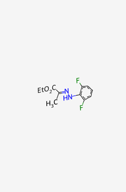 CCOC(=O)C(C)=NNc1c(F)cccc1F